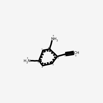 C#Cc1ccc(N)cc1N